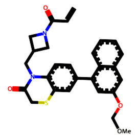 C=CC(=O)N1CC(CN2C(=O)CSc3cc(-c4cc(OCOC)cc5ccccc45)ccc32)C1